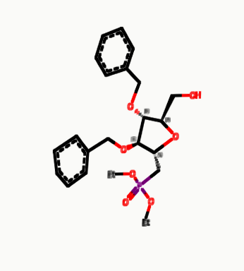 CCOP(=O)(C[C@H]1O[C@H](CO)[C@@H](OCc2ccccc2)[C@@H]1OCc1ccccc1)OCC